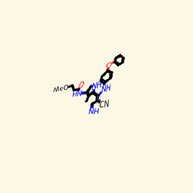 COCCC(=O)Nc1c[nH]c(/C(Nc2ccc(Oc3ccccc3)cc2)=C(/C#N)C=N)c1C